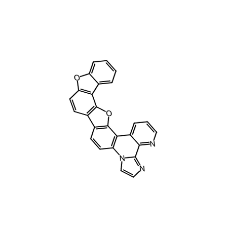 c1ccc2c(c1)oc1ccc3c4ccc5c(c6cccnc6c6nccn56)c4oc3c12